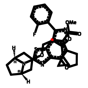 COC(=O)c1cc2sc(N3[C@@H]4CC[C@H]3CC(OCc3c(-c5ccccc5F)noc3C3CC3)C4)nc2c2c1CCO2